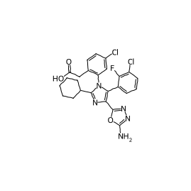 Nc1nnc(-c2nc(C3CCCCC3)n(-c3cc(Cl)ccc3CC(=O)O)c2-c2cccc(Cl)c2F)o1